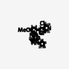 COc1ccc(C(=O)Cc2c(Cl)cncc2Cl)n2nc(C3(C(=O)NC4CCCC4)CC3)nc12